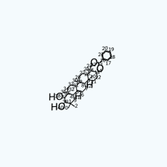 CC1(C)C[C@@H]2C3=CC[C@@H]4[C@@]5(C)CCC6OC(c7ccccc7)OC[C@@]6(C)C5CC[C@@]4(C)[C@]3(C)CC[C@@]2(C)[C@@H](O)[C@H]1O